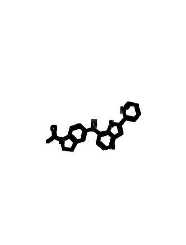 CC(=O)N1CCc2cc(Nc3ccnc4cc(-c5ccccn5)sc34)ccc21